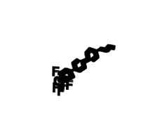 C/C=C/C[C@H]1CC[C@H]([C@H]2CC[C@H](c3cc(F)c(OC(F)(F)F)c(F)c3)CC2)CC1